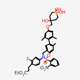 CCOC(=O)CCc1ccc(N(Cc2ccc(C)c(-c3c(C)cc(OCC4(O)CCS(O)(O)CC4)cc3C)c2)S(=O)(=O)c2ccccc2[N+](=O)[O-])cc1F